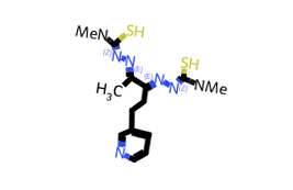 CN/C(S)=N/N=C(C)/C(CCc1cccnc1)=N/N=C(\S)NC